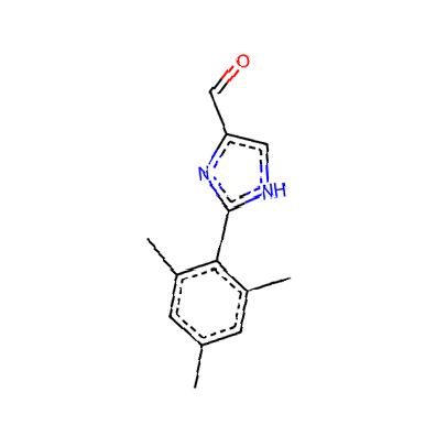 Cc1cc(C)c(-c2nc(C=O)c[nH]2)c(C)c1